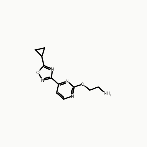 NCCOc1nccc(-c2noc(C3CC3)n2)n1